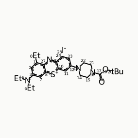 CCc1cc(N(CC)CC)cc2[s+]c3cc(N4CCN(C(=O)OC(C)(C)C)CC4)ccc3nc12.[I-]